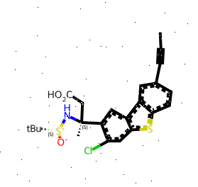 CC#Cc1ccc2sc3cc(Cl)c([C@](C)(CC(=O)O)N[S@+]([O-])C(C)(C)C)cc3c2c1